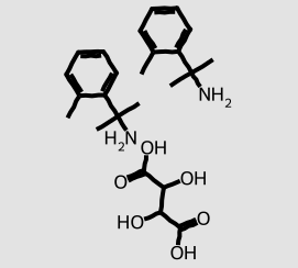 Cc1ccccc1C(C)(C)N.Cc1ccccc1C(C)(C)N.O=C(O)C(O)C(O)C(=O)O